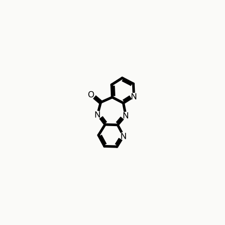 O=c1nc2cccnc2nc2ncccc12